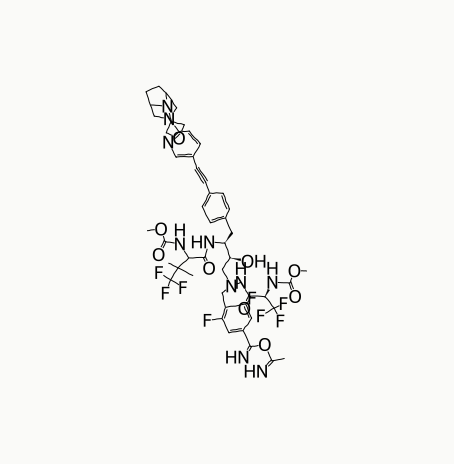 COC(=O)NC(C(=O)N[C@@H](Cc1ccc(C#Cc2ccc(N3CC4CCC(C3)N4C3COC3)nc2)cc1)[C@@H](O)CN(Cc1c(F)cc(C(=N)OC(C)=N)cc1F)NC(=O)[C@@H](NC(=O)OC)C(F)(F)F)C(C)(C)C(F)(F)F